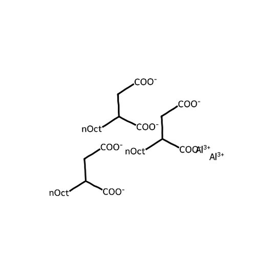 CCCCCCCCC(CC(=O)[O-])C(=O)[O-].CCCCCCCCC(CC(=O)[O-])C(=O)[O-].CCCCCCCCC(CC(=O)[O-])C(=O)[O-].[Al+3].[Al+3]